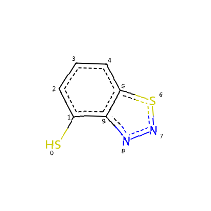 Sc1cccc2snnc12